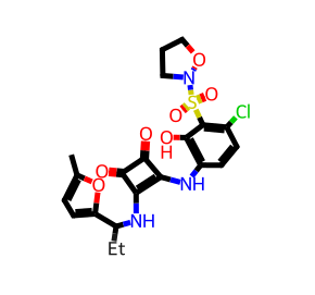 CCC(Nc1c(Nc2ccc(Cl)c(S(=O)(=O)N3CCCO3)c2O)c(=O)c1=O)c1ccc(C)o1